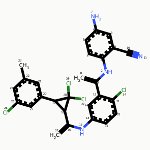 C=C(Nc1ccc(N)cc1C#N)c1cc(NC(=C)C2C(c3cc(C)cc(Cl)c3)C2(Cl)Cl)ccc1Cl